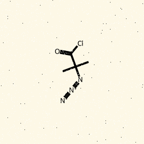 CC(C)(N=[N+]=[N-])C(=O)Cl